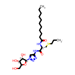 [CH2][CH]CSC[C@@H](NC(=O)CCCCCCCCCC)C(=O)Nc1cn([C@H]2OC(CO)[C@@H](O)[C@@H]2O)nn1